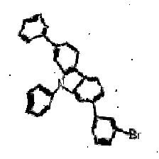 Brc1cccc(-c2ccc3c4ccc(-c5ccccc5)cc4n(-c4ccccc4)c3c2)c1